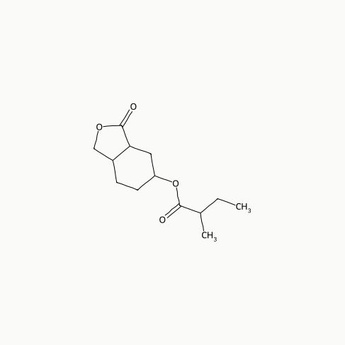 CCC(C)C(=O)OC1CCC2COC(=O)C2C1